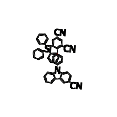 N#Cc1cc(C#N)c(-c2ccc(-n3c4ccccc4c4cc(C#N)ccc43)cc2)c([Si](c2ccccc2)(c2ccccc2)c2ccccc2)c1